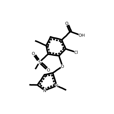 Cc1cc(Oc2c(Cl)c(C(=O)O)cc(C)c2S(C)(=O)=O)n(C)n1